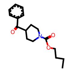 CCCCOC(=O)N1CCC(C(=O)c2ccccc2)CC1